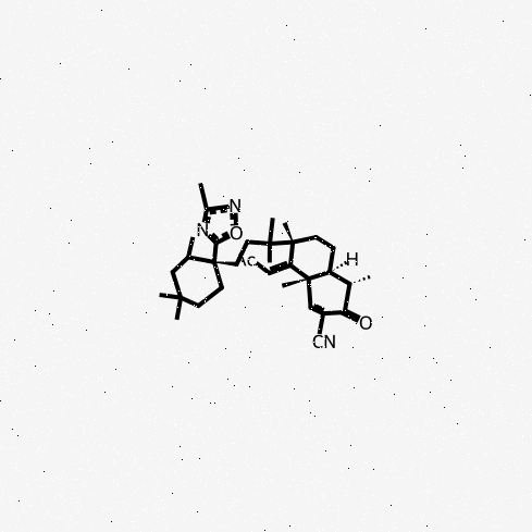 CC(=O)/C=C1/[C@@]2(C)C=C(C#N)C(=O)[C@@H](C)[C@@H]2CC[C@@]1(C)C(C)(C)CC[C@@]1(c2nc(C)no2)CCC(C)(C)CC1C